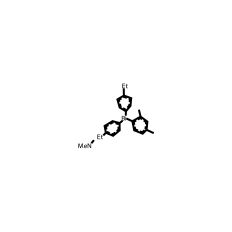 CCc1cc[c]([Bi]([c]2ccc(CC)cc2)[c]2ccc(C)cc2C)cc1.CNC